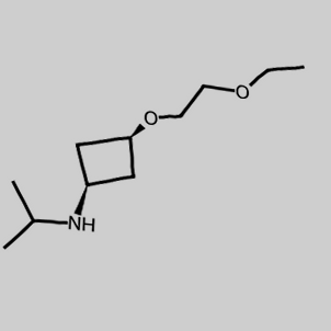 CCOCCO[C@H]1C[C@@H](NC(C)C)C1